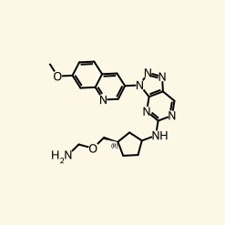 COc1ccc2cc(-n3nnc4cnc(NC5CC[C@@H](COCN)C5)nc43)cnc2c1